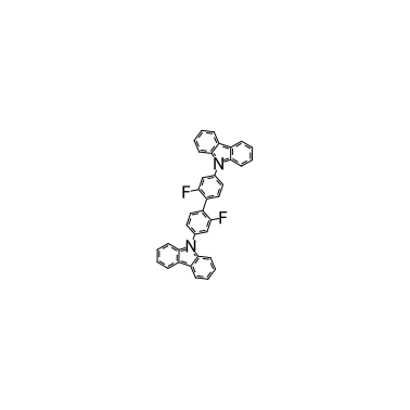 Fc1cc(-n2c3ccccc3c3ccccc32)ccc1-c1ccc(-n2c3ccccc3c3ccccc32)cc1F